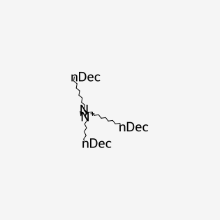 CCCCCCCCCCCCCCCCCCCc1n(CCCCCCCCCCCCCCCCCC)cc[n+]1CCCCCCCCCCCCCCCC